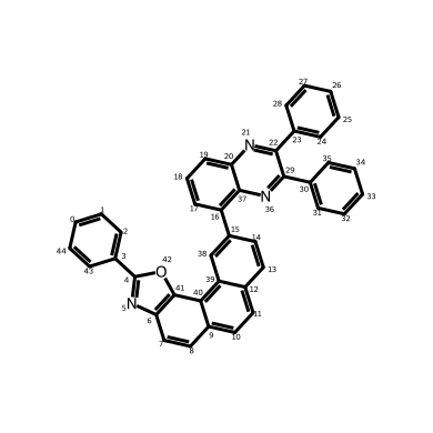 c1ccc(-c2nc3ccc4ccc5ccc(-c6cccc7nc(-c8ccccc8)c(-c8ccccc8)nc67)cc5c4c3o2)cc1